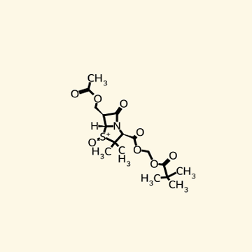 CC(=O)OC[C@H]1C(=O)N2[C@@H]1[S+]([O-])C(C)(C)[C@@H]2C(=O)OCOC(=O)C(C)(C)C